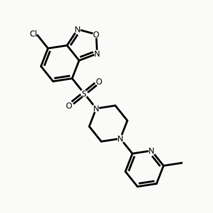 Cc1cccc(N2CCN(S(=O)(=O)c3ccc(Cl)c4nonc34)CC2)n1